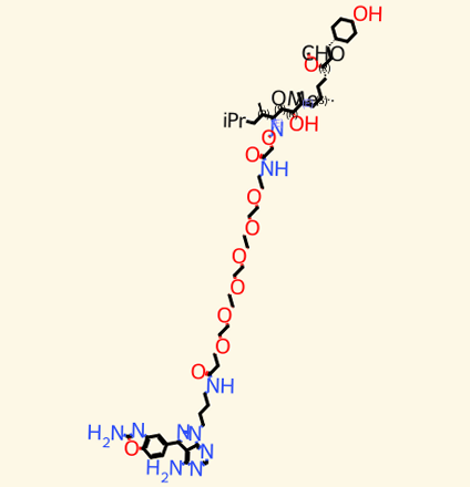 CO[C@@H](/C(=N/OCC(=O)NCCOCCOCCOCCOCCOCCOCCC(=O)NCCCCn1nc(-c2ccc3oc(N)nc3c2)c2c(N)ncnc21)[C@H](C)CC(C)C)[C@H](O)/C(C)=C/[C@@H](C)CC[C@@H](CC[C@H]1CC[C@H](O)CC1)OC=O